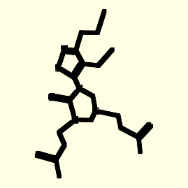 C=C(C)CCN1CN(CCC(=C)C)C(=O)N(c2snc(CCC)c2CC)C1